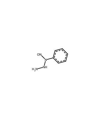 NNN(N=O)c1ccccc1